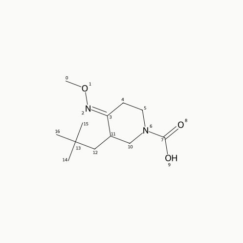 CON=C1CCN(C(=O)O)CC1CC(C)(C)C